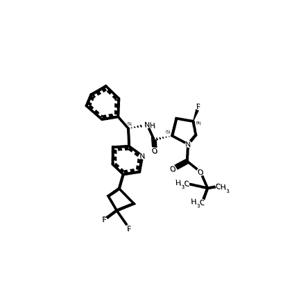 CC(C)(C)OC(=O)N1C[C@H](F)C[C@H]1C(=O)N[C@@H](c1ccccc1)c1ccc(C2CC(F)(F)C2)cn1